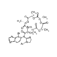 CC(=O)O[C@@H](C)C(=O)O[C@@H](C)C(=O)O[C@@H](C)C(=O)O[C@@H](C)C(=O)O[C@@H](C)C(=O)O[C@@H](C)C(=O)N(C1=NCCN1C(C)=O)c1ccc2nccnc2c1Br